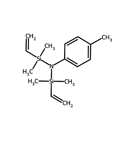 C=C[Si](C)(C)N(c1ccc(C)cc1)[Si](C)(C)C=C